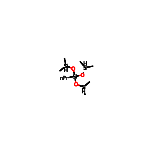 CCC[Si](O[SiH](C)C)(O[SiH](C)C)O[SiH](C)C